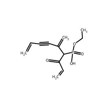 C=CC#CC(=C)C(C(=O)C=C)P(=O)(O)OCC